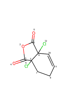 O=C1OC(=O)C2(Cl)CCC=CC12Cl